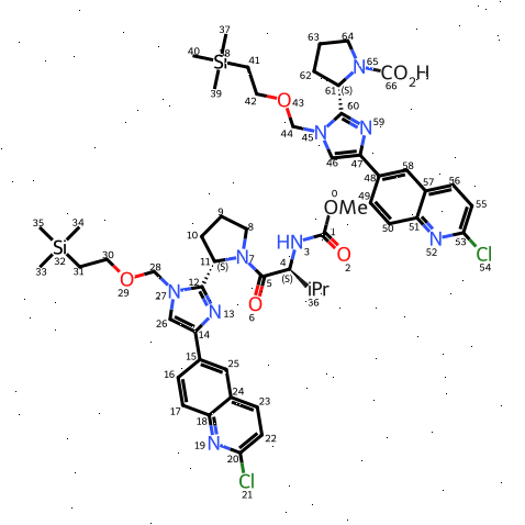 COC(=O)N[C@H](C(=O)N1CCC[C@H]1c1nc(-c2ccc3nc(Cl)ccc3c2)cn1COCC[Si](C)(C)C)C(C)C.C[Si](C)(C)CCOCn1cc(-c2ccc3nc(Cl)ccc3c2)nc1[C@@H]1CCCN1C(=O)O